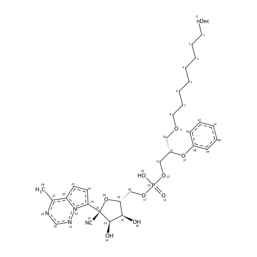 CCCCCCCCCCCCCCCCCCOC[C@@H](COP(=O)(O)OC[C@H]1O[C@@](C#N)(c2ccc3c(C)ncnn23)[C@H](O)[C@@H]1O)Oc1ccccc1